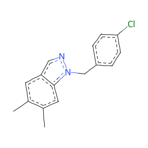 Cc1cc2cnn(Cc3ccc(Cl)cc3)c2cc1C